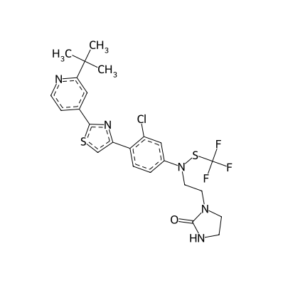 CC(C)(C)c1cc(-c2nc(-c3ccc(N(CCN4CCNC4=O)SC(F)(F)F)cc3Cl)cs2)ccn1